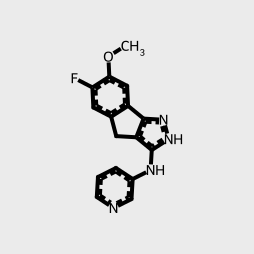 COc1cc2c(cc1F)Cc1c-2n[nH]c1Nc1cccnc1